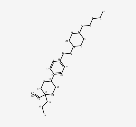 CCCCCC1CCC(CCc2ccc(C3CCC(C=O)(CCC)CC3)cc2)CC1